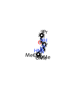 COc1cc(Nc2nccc(N3CCC[C@H](C(=O)NCc4ccc(C(C)C)cc4)C3)n2)cc(OC)c1OC